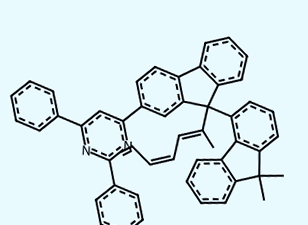 C=C/C=C\C=C(/C)C1(c2cccc3c2-c2ccccc2C3(C)C)c2ccccc2-c2ccc(-c3cc(-c4ccccc4)nc(-c4ccccc4)n3)cc21